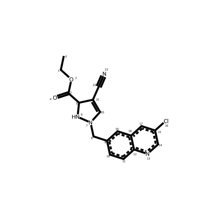 CCOC(=O)C1NN(Cc2ccc3ncc(Cl)cc3c2)C=C1C#N